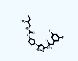 CCC(O)CNC(=O)O[C@@H]1CC[C@H](c2cc(NC(=O)Cc3cc(F)cc(F)c3)n[nH]2)C1